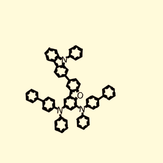 c1ccc(-c2ccc(N(c3ccccc3)c3cc(N(c4ccccc4)c4ccc(-c5ccccc5)cc4)c4oc5ccc(-c6ccc7c8ccccc8n(-c8ccccc8)c7c6)cc5c4c3)cc2)cc1